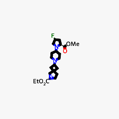 CCOC(=O)N1CCC2(CC(N3CCC(N4C[C@@H](F)C[C@@H]4C(=O)OC)CC3)C2)C1